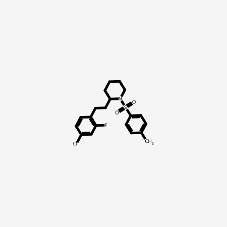 Cc1ccc(S(=O)(=O)N2CCCCC2CCc2ccc(Cl)cc2F)cc1